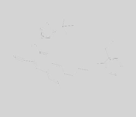 C=CCc1ccccc1OCCOc1ccc(C=C(C#N)C(=O)Nc2nnc(C(C)(C)C)s2)cc1OC